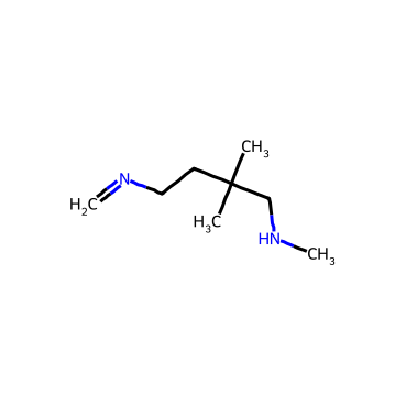 C=NCCC(C)(C)CNC